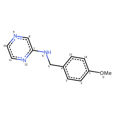 COc1ccc(CNc2cnccn2)cc1